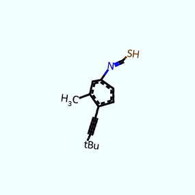 Cc1cc(N=CS)ccc1C#CC(C)(C)C